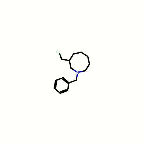 ClCC1CCCCCN(Cc2ccccc2)C1